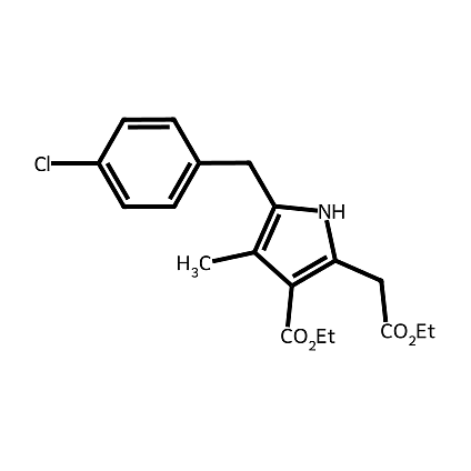 CCOC(=O)Cc1[nH]c(Cc2ccc(Cl)cc2)c(C)c1C(=O)OCC